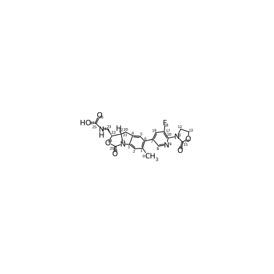 Cc1cc2c(cc1-c1cnc(N3CCOC3=O)c(F)c1)C[C@H]1[C@H](CNC(=O)O)OC(=O)N21